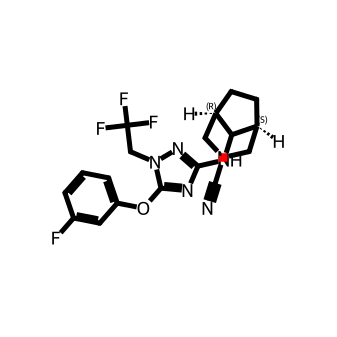 N#CN1C[C@H]2CC[C@@H](C1)C2Nc1nc(Oc2cccc(F)c2)n(CC(F)(F)F)n1